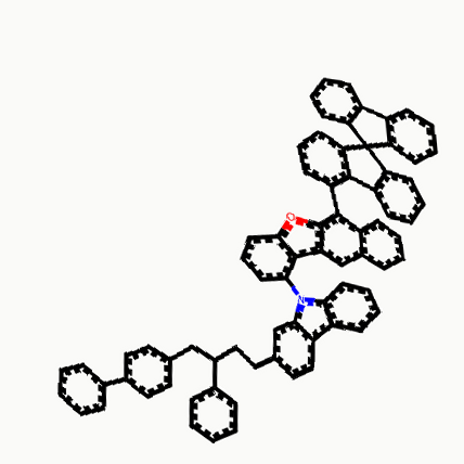 c1ccc(-c2ccc(CC(CCc3ccc4c5ccccc5n(-c5cccc6oc7c(-c8cccc9c8-c8ccccc8C98c9ccccc9-c9ccccc98)c8ccccc8cc7c56)c4c3)c3ccccc3)cc2)cc1